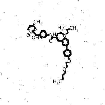 CCCCOCCOc1ccc(-c2ccc3c(c2)C=C(C(=O)Nc2ccc(C(O)c4cc(C)cc[n+]4[O-])cc2)CCN3CC(C)C)cc1